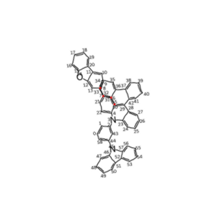 c1cc(N(c2ccc(-c3ccc4c(c3)oc3ccccc34)cc2)c2ccccc2-c2cc3ccccc3c3ccccc23)cc(-n2c3ccccc3c3ccccc32)c1